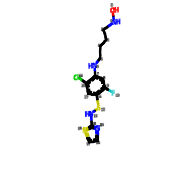 ONCCCCNc1cc(F)c(SNc2nccs2)cc1Cl